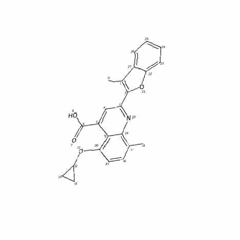 Cc1c(-c2cc(C(=O)O)c3c(OC4CC4)ccc(C)c3n2)oc2ccccc12